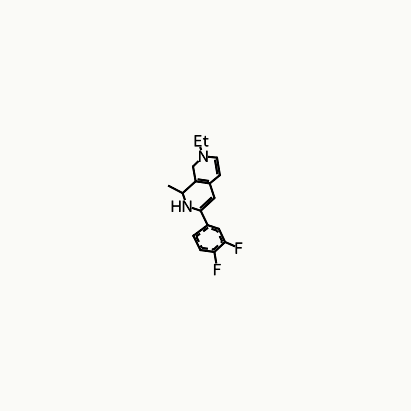 CCN1C=CC2=C(C1)C(C)NC(c1ccc(F)c(F)c1)=C2